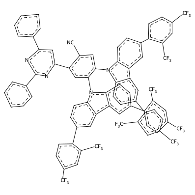 N#Cc1cc(-n2c3ccc(-c4ccc(C(F)(F)F)cc4C(F)(F)F)cc3c3cc(-c4ccc(C(F)(F)F)cc4C(F)(F)F)ccc32)c(-n2c3ccc(-c4ccc(C(F)(F)F)cc4C(F)(F)F)cc3c3cc(-c4ccc(C(F)(F)F)cc4C(F)(F)F)ccc32)cc1-c1cc(-c2ccccc2)nc(-c2ccccc2)n1